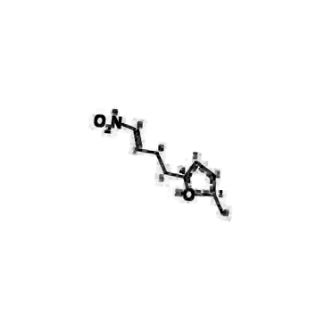 Cc1ccc(CCC=C[N+](=O)[O-])o1